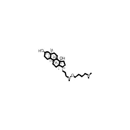 CN(C)CCCCON(C)CCC[C@H]1CC[C@]2(O)[C@@H]3CC[C@@H]4C[C@@H](O)CC[C@]4(C)[C@H]3CC[C@]12C